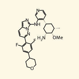 CO[C@@H]1[C@H](N)C[C@H](c2ccncc2Nc2ncc3ccc(-c4c(F)cc(C5CCOCC5)cc4F)nn23)C[C@@H]1C